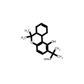 CCCCCCC(C)(C)c1ccc2c(c1O)C1CC=CCC1C(C)(C)O2